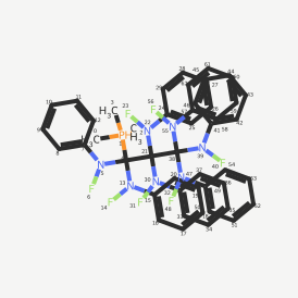 C[PH](C)(C)C(N(F)c1ccccc1)(N(F)c1ccccc1)C(N(F)c1ccccc1)(N(F)c1ccccc1)C(N(F)c1ccccc1)(N(F)c1ccccc1)N(F)c1ccccc1